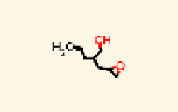 C=CC[C](CO)CC1CO1